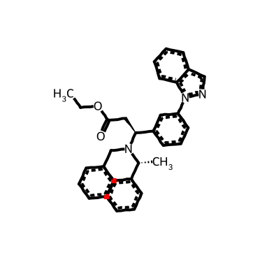 CCOC(=O)C[C@@H](c1cccc(-n2ncc3ccccc32)c1)N(Cc1ccccc1)[C@H](C)c1ccccc1